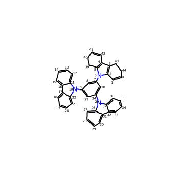 C1=Cc2c(c3c(n2-c2cc(-n4c5ccccc5c5ccccc54)cc(-n4c5ccccc5c5ccccc54)c2)CCC=C3)CC1